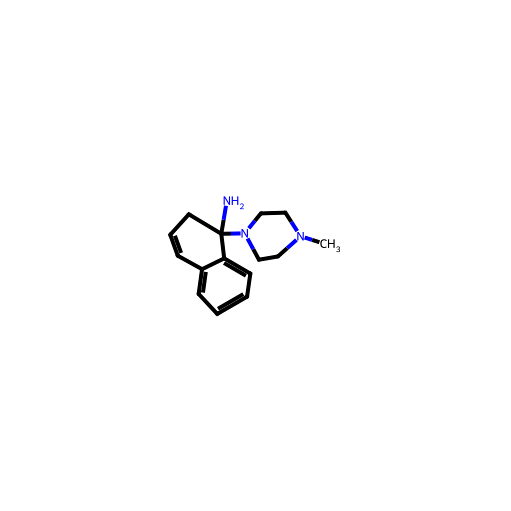 CN1CCN(C2(N)CC=Cc3ccccc32)CC1